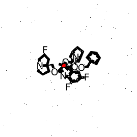 CC(C)(C)OC(=O)N1C2CCC1CN(c1nc(OC[C@@]34CCCN3C[C@H](F)C4)nc3c(F)cc(F)c(OCc4ccccc4)c13)C2